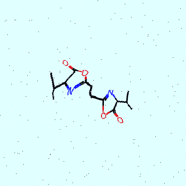 CC(C)C1N=C(CCC2=NC(C(C)C)C(=O)O2)OC1=O